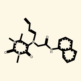 C=C/C=C/N(CC(=O)Nc1cccc2ccccc12)c1c(C)n(C)c(=O)n(C)c1=O